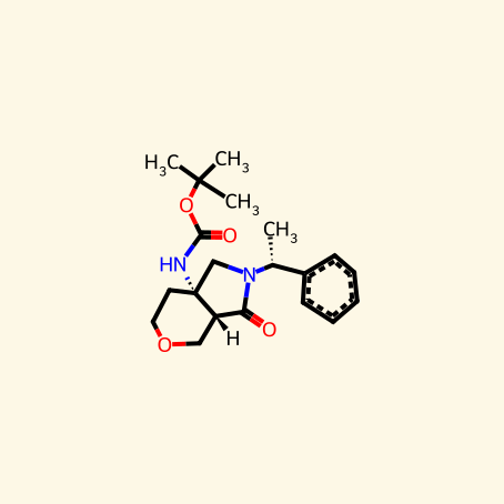 C[C@H](c1ccccc1)N1C[C@]2(NC(=O)OC(C)(C)C)CCOC[C@H]2C1=O